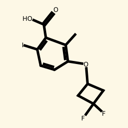 Cc1c(OC2CC(F)(F)C2)ccc(I)c1C(=O)O